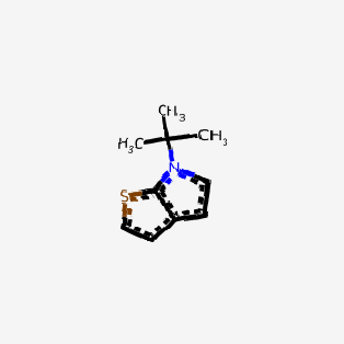 CC(C)(C)n1ccc2ccsc21